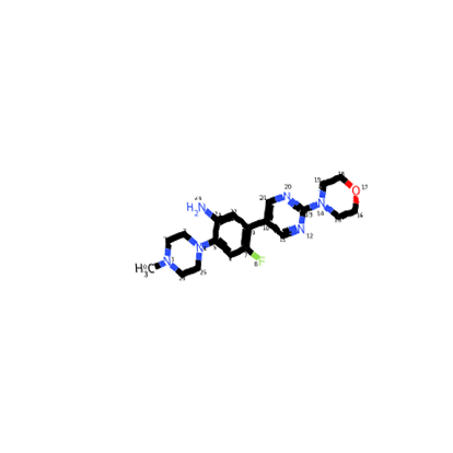 CN1CCN(c2cc(F)c(-c3cnc(N4CCOCC4)nc3)cc2N)CC1